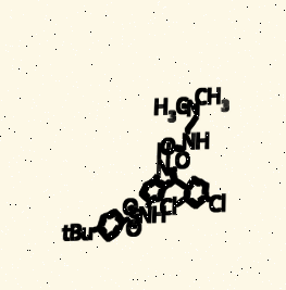 CN(C)CCNC(=O)Oc1[nH]c2ccc(NS(=O)(=O)c3ccc(C(C)(C)C)cc3)cc2c1-c1ccc(Cl)cc1Cl